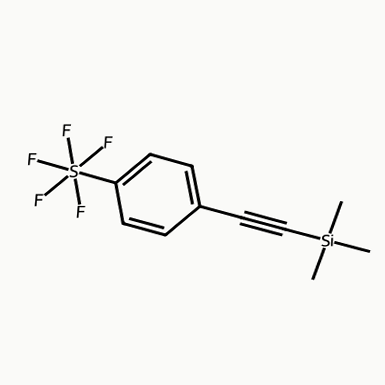 C[Si](C)(C)C#Cc1ccc(S(F)(F)(F)(F)F)cc1